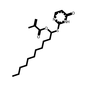 C=C(C)C(=O)OC(CCCCCCCCCC)Sc1nccc(=O)[nH]1